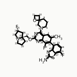 Cc1cc2c(N3CCCC4(CCO4)C3)nc(OC[C@@]34CCCN3C[C@H](F)C4)nc2c(F)c1-c1ccc(F)c2sc(N)nc12